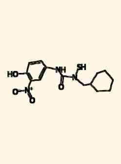 O=C(Nc1ccc(O)c([N+](=O)[O-])c1)N(S)CC1CCCCC1